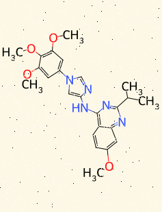 COc1ccc2c(Nc3cn(-c4cc(OC)c(OC)c(OC)c4)cn3)nc(C(C)C)nc2c1